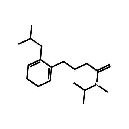 C=C(CCCC1=CCCC=C1CC(C)C)N(C)C(C)C